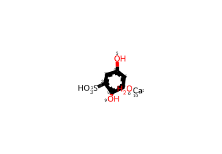 O.O=S(=O)(O)c1cc(O)ccc1O.[Ca]